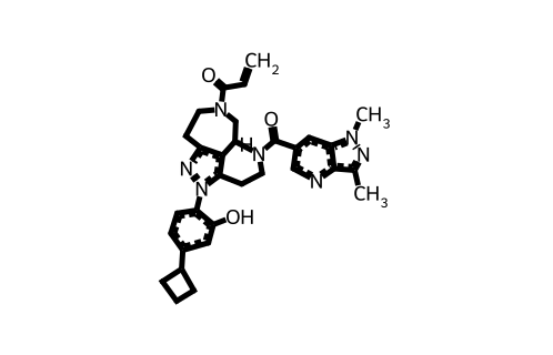 C=CC(=O)N1CCc2nn(-c3ccc(C4CCC4)cc3O)c3c2[C@H](C1)N(C(=O)c1cnc2c(C)nn(C)c2c1)CC3